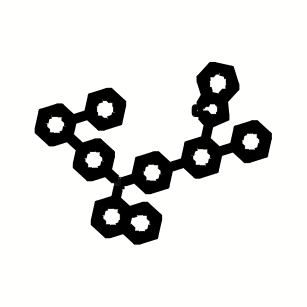 c1ccc(-c2ccccc2-c2ccc(N(c3ccc(-c4ccc(-c5ccccc5)c(-c5cc6ccccc6o5)c4)cc3)c3cccc4ccccc34)cc2)cc1